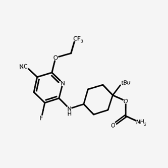 CC(C)(C)C1(OC(N)=O)CCC(Nc2nc(OCC(F)(F)F)c(C#N)cc2F)CC1